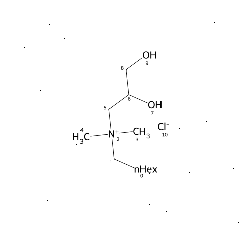 CCCCCCC[N+](C)(C)CC(O)CO.[Cl-]